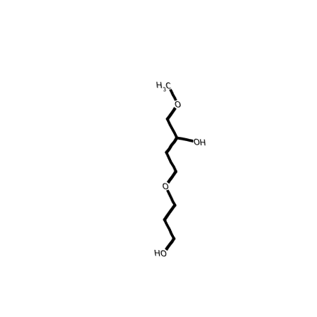 COCC(O)CCOCCCO